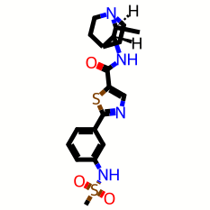 C[C@H]1[C@H](NC(=O)c2cnc(-c3cccc(NS(C)(=O)=O)c3)s2)C2CCN1CC2